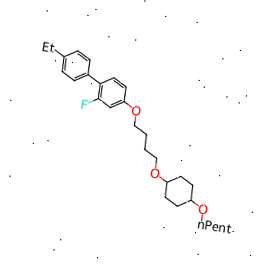 CCCCCOC1CCC(OCCCCOc2ccc(-c3ccc(CC)cc3)c(F)c2)CC1